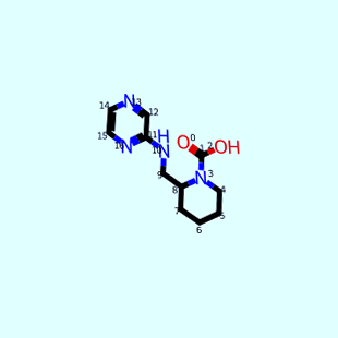 O=C(O)N1CCCCC1CNc1cnccn1